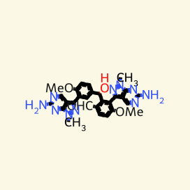 COc1ccc(C(O)c2c(C=O)ccc(OC)c2-c2nn(C)c3nc(N)ncc23)cc1-c1nn(C)c2nc(N)ncc12